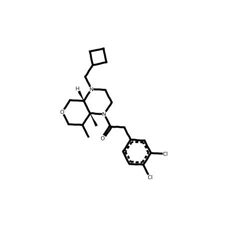 CC1COC[C@@H]2N(CC3CCC3)CCN(C(=O)Cc3ccc(Cl)c(Cl)c3)[C@]12C